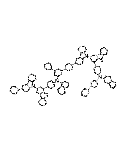 c1ccc(-c2ccc(N(c3ccc(-c4cc(-n5c6ccccc6c6cc(-c7ccc(-c8cc(-c9ccccc9)cc(N(c9ccc(-c%10cc(-n%11c%12ccccc%12c%12cc(-c%13ccccc%13)ccc%12%11)cc%11c%10sc%10ccccc%10%11)cc9)c9cccc%10ccccc9%10)c8)cc7)ccc65)cc5c4sc4ccccc45)cc3)c3ccc4ccccc4c3)cc2)cc1